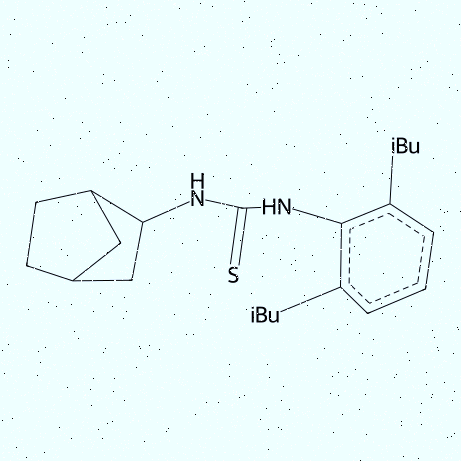 CCC(C)c1cccc(C(C)CC)c1NC(=S)NC1CC2CCC1C2